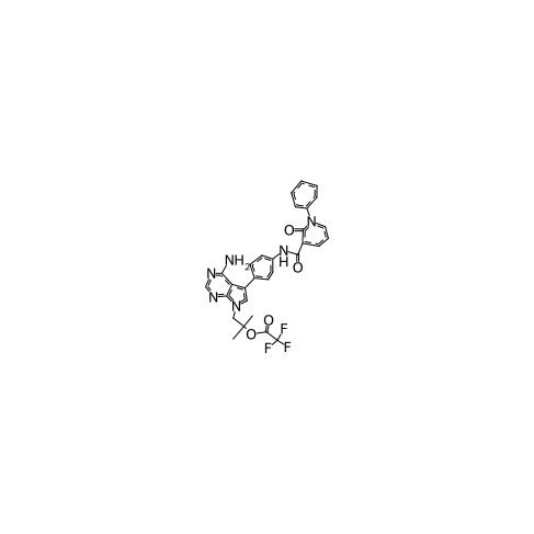 CC(C)(Cn1cc(-c2ccc(NC(=O)c3cccn(-c4ccccc4)c3=O)cc2)c2c(N)ncnc21)OC(=O)C(F)(F)F